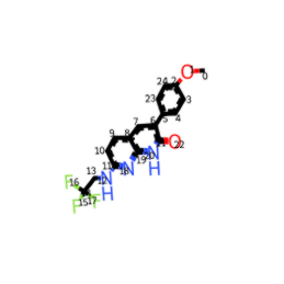 COc1ccc(-c2cc3ccc(NCC(F)(F)F)nc3[nH]c2=O)cc1